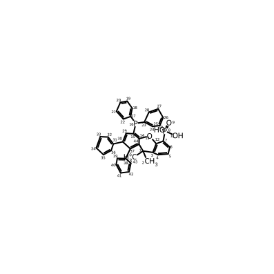 CC1(C)c2cccc(P(=O)(O)O)c2Oc2c(P(c3ccccc3)c3ccccc3)cc(-c3ccccc3)c(-c3ccccc3)c21